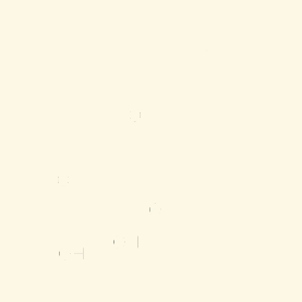 OC1COc2cc(OCc3ccccc3)cc(OCc3ccccc3)c2C1O